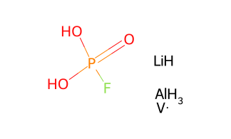 O=P(O)(O)F.[AlH3].[LiH].[V]